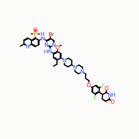 CCc1cc(Nc2ncc(Br)c(Nc3ccc4nc(C)ccc4c3P(C)(C)=O)n2)c(OC)cc1N1CCC(N2CCN(CCCOc3cc(F)c(C4CCC(=O)NC4=O)c(F)c3)CC2)CC1